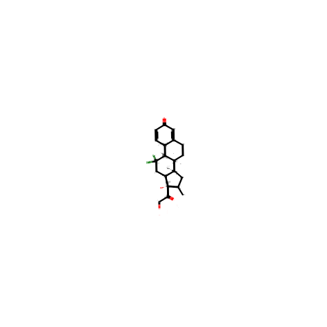 CC1C[C@H]2[C@@H]3CCC4=CC(=O)C=C[C@]4(C)[C@H]3C(Cl)(Cl)C[C@]2(C)[C@@]1(O)C(=O)CO